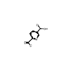 O=C(Cl)c1ccc(C(O)Cl)cn1